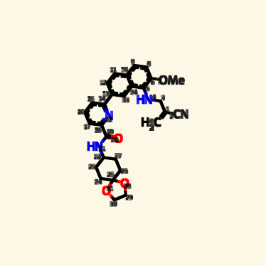 C=C(C#N)CNc1c(OC)ccc2ccc(-c3cccc(C(=O)NC4CCC5(CC4)OCCO5)n3)cc12